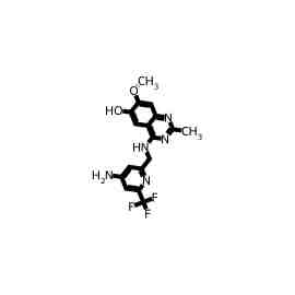 COc1cc2nc(C)nc(NCc3cc(N)cc(C(F)(F)F)n3)c2cc1O